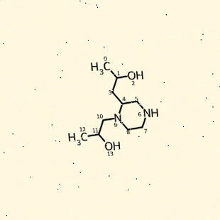 CC(O)CC1CNCCN1CC(C)O